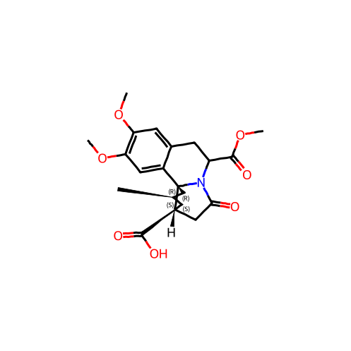 COC(=O)C1Cc2cc(OC)c(OC)cc2[C@@]23C[C@H](C)[C@@H](C(=O)O)[C@@H]2CC(=O)N13